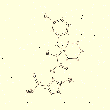 CCc1cccc(C[N+]2(C(CC)C(=O)Nc3c(C)csc3C(=O)OC)CCCCC2)c1